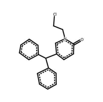 O=c1ccc(C(c2ccccc2)c2ccccc2)cn1CCCl